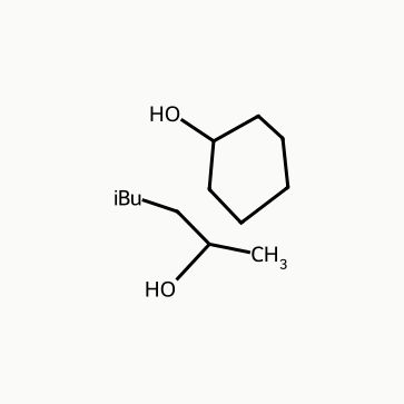 CCC(C)CC(C)O.OC1CCCCC1